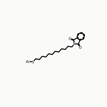 CC(=O)SCCCCCCCCCCCCN1C(=O)c2ccccc2C1=O